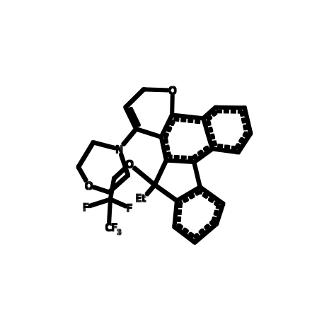 CCC1(OCC(F)(F)C(F)(F)F)c2ccccc2-c2c1c1c(c3ccccc23)OCC=C1N1CCOCC1